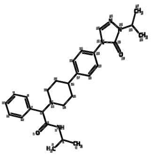 CC(C)NC(=O)C(c1ccccc1)N1CCC(c2ccc(-n3cnn(C(C)C)c3=O)cc2)CC1